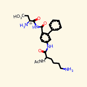 CC(=O)NC(CCCCN)C(=O)Nc1ccc(C(=O)NC(=O)[C@@H](N)CC(=O)O)c(-c2ccccc2)c1